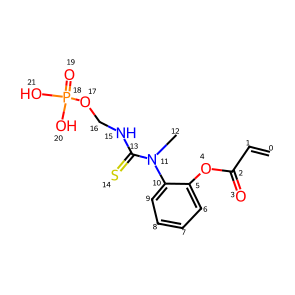 C=CC(=O)Oc1ccccc1N(C)C(=S)NCOP(=O)(O)O